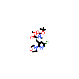 COC(=O)[C@H](Cc1cc(Cl)cnc1N1CCOCC1)N(C)C(=O)OC(C)(C)C